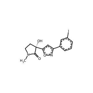 CN1CC[C@@](O)(c2cc(-c3cccc(I)c3)no2)C1=O